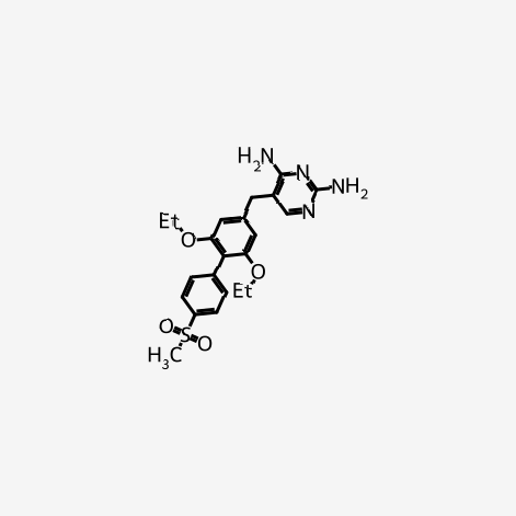 CCOc1cc(Cc2cnc(N)nc2N)cc(OCC)c1-c1ccc(S(C)(=O)=O)cc1